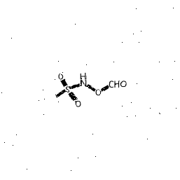 CS(=O)(=O)NOC=O